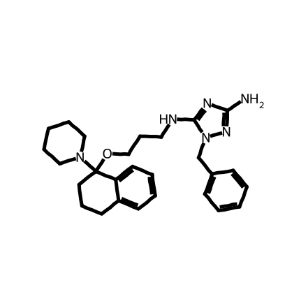 Nc1nc(NCCCOC2(N3CCCCC3)CCCc3ccccc32)n(Cc2ccccc2)n1